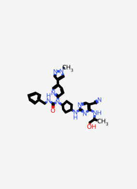 CC(CO)Nc1nc(NC2CCC(N(C(=O)NCc3ccccc3)c3ccc(-c4cnn(C)c4)cn3)CC2)ncc1C#N